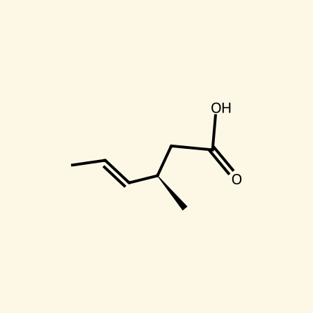 CC=C[C@H](C)CC(=O)O